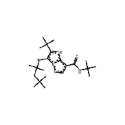 CC(C)(C)CC(C)(C)Nc1c(C(C)(C)C)[nH]c2c(C(=O)NC(C)(C)C)cnn12